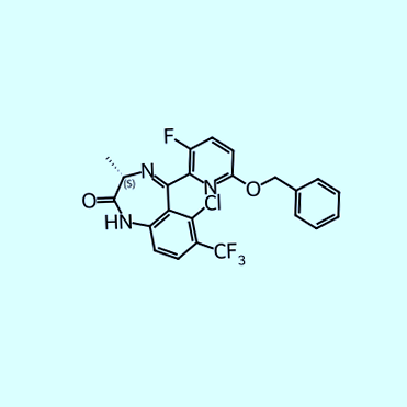 C[C@@H]1N=C(c2nc(OCc3ccccc3)ccc2F)c2c(ccc(C(F)(F)F)c2Cl)NC1=O